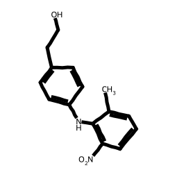 Cc1cccc([N+](=O)[O-])c1Nc1ccc(CCO)cc1